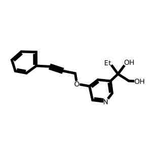 CCC(O)(CO)c1cncc(OCC#Cc2ccccc2)c1